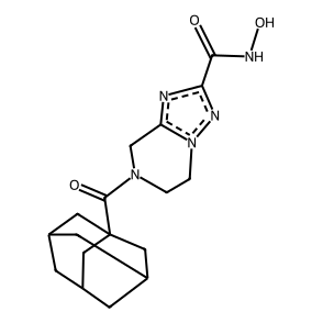 O=C(NO)c1nc2n(n1)CCN(C(=O)C13CC4CC(CC(C4)C1)C3)C2